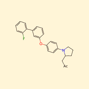 CC(=O)CC1CCCN1c1ccc(Oc2cccc(-c3ccccc3F)c2)cc1